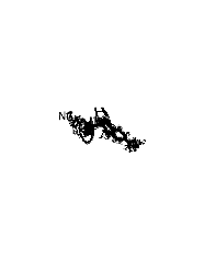 Cn1cc(-c2ccc3[nH]c(C(=O)N[C@@H]4CCN(C#N)C4)cc3c2)cn1